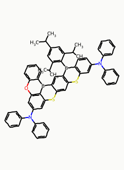 CC(C)c1cc(C(C)C)c(B2c3ccc(N(c4ccccc4)c4ccccc4)cc3Sc3cc4c(cc32)B2c3ccccc3Oc3cc(N(c5ccccc5)c5ccccc5)cc(c32)S4)c(C(C)C)c1